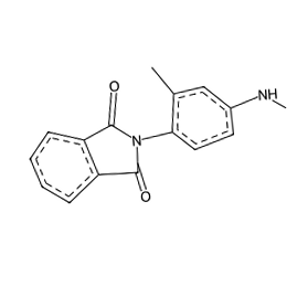 CNc1ccc(N2C(=O)c3ccccc3C2=O)c(C)c1